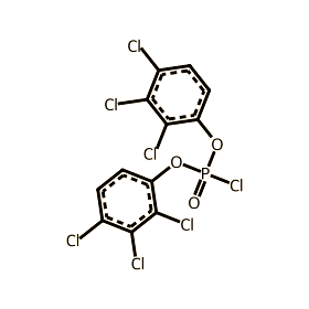 O=P(Cl)(Oc1ccc(Cl)c(Cl)c1Cl)Oc1ccc(Cl)c(Cl)c1Cl